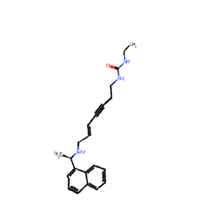 CCNC(=O)NCCC#C/C=C/CN[C@H](C)c1cccc2ccccc12